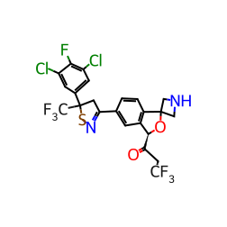 O=C(CC(F)(F)F)[C@@H]1OC2(CNC2)c2ccc(C3=NSC(c4cc(Cl)c(F)c(Cl)c4)(C(F)(F)F)C3)cc21